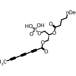 CC#CC#CC#CC(=O)OC[C@@H](COP(=O)(O)O)OC(=O)CCCCCCCCCCCCC